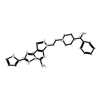 Nc1nc2c(cnn2CCN2CCC(C(O)c3ccccc3)CC2)c2nc(-c3ccco3)nn12